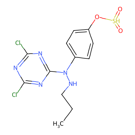 CCCNN(c1ccc(O[SH](=O)=O)cc1)c1nc(Cl)nc(Cl)n1